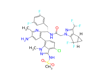 Cc1nc([C@H](Cc2cc(F)cc(F)c2)NC(=O)Cn2nc(C(F)F)c3c2C(F)(F)[C@@H]2C[C@H]32)c(-c2ccc(Cl)c3c(NS(C)(=O)=O)nn(C)c23)cc1N